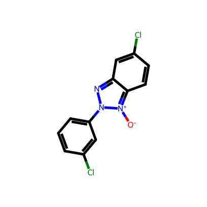 [O-][n+]1c2ccc(Cl)cc2nn1-c1cccc(Cl)c1